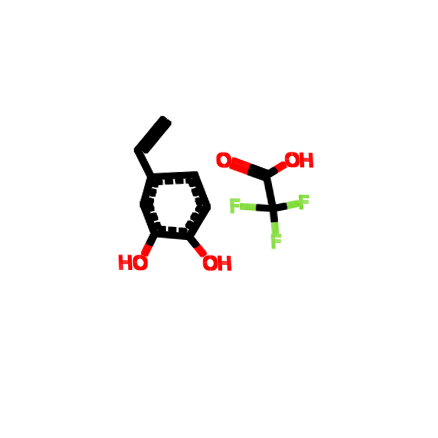 C=Cc1ccc(O)c(O)c1.O=C(O)C(F)(F)F